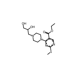 CCOC(=O)c1cnc(SC)nc1N1CCN(CC(O)CO)CC1